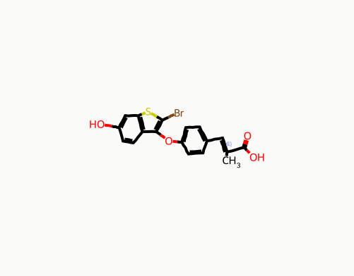 C/C(=C\c1ccc(Oc2c(Br)sc3cc(O)ccc23)cc1)C(=O)O